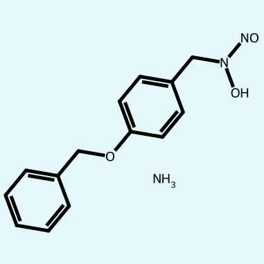 N.O=NN(O)Cc1ccc(OCc2ccccc2)cc1